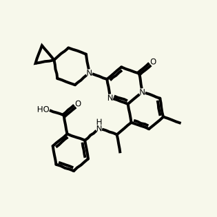 Cc1cc(C(C)Nc2ccccc2C(=O)O)c2nc(N3CCC4(CC3)CC4)cc(=O)n2c1